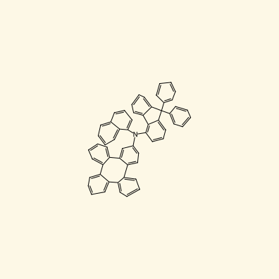 c1ccc(C2(c3ccccc3)c3ccccc3-c3c(N(c4ccc5c(c4)-c4ccccc4-c4ccccc4-c4ccccc4-5)c4cccc5ccccc45)cccc32)cc1